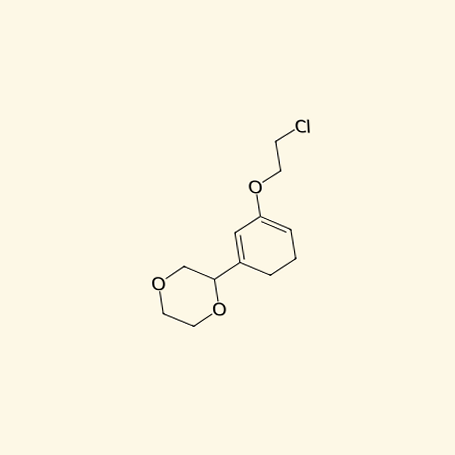 ClCCOC1=CCCC(C2COCCO2)=C1